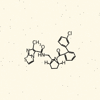 Cc1nc2sccn2c1C(=O)NC[C@@H]1[C@H]2CC[C@H](C2)N1C(=O)c1ccccc1-c1cccc(Cl)c1